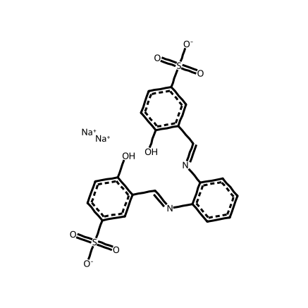 O=S(=O)([O-])c1ccc(O)c(C=Nc2ccccc2N=Cc2cc(S(=O)(=O)[O-])ccc2O)c1.[Na+].[Na+]